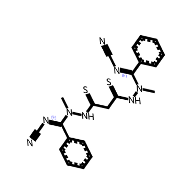 CN(NC(=S)CC(=S)NN(C)/C(=N/C#N)c1ccccc1)/C(=N/C#N)c1ccccc1